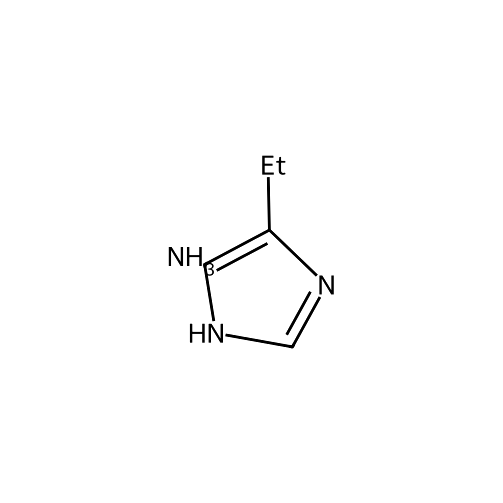 CCc1c[nH]cn1.N